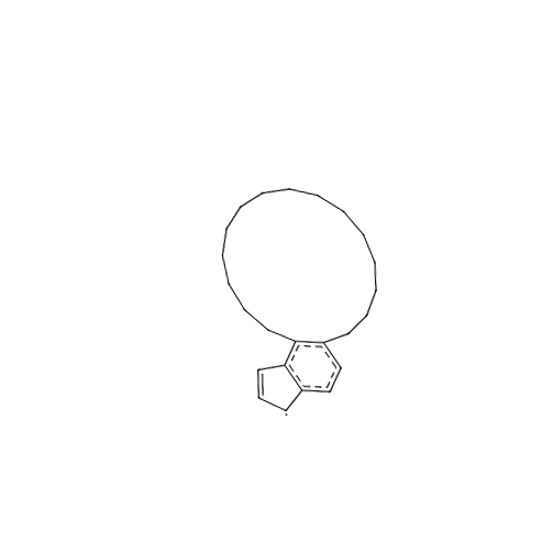 [CH]1C=Cc2c1ccc1c2CCCCCCCCCCCCCCC1